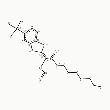 CCCCCCCNC(=O)/C(OC=S)=C1\Sc2ccc(C(C)(C)C)cc2S1